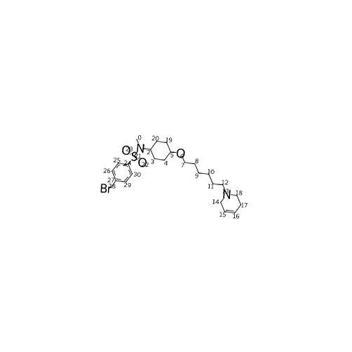 CN(C1CCC(OCCCCCCN2CC=CCC2)CC1)S(=O)(=O)c1ccc(Br)cc1